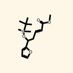 COC(=O)/C=C/CC(O[Si](C)(C)C(C)(C)C)c1ccco1